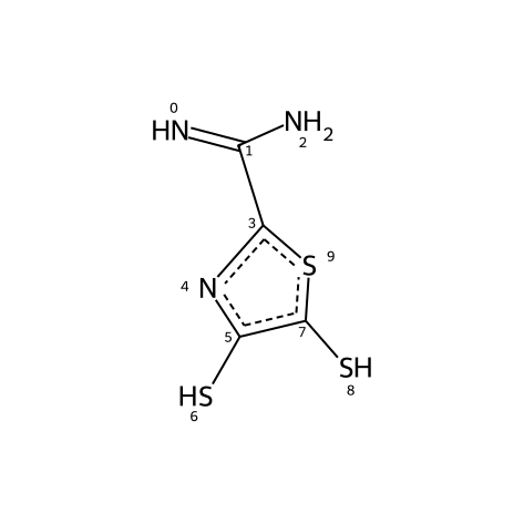 N=C(N)c1nc(S)c(S)s1